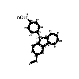 C=Cc1ccc2c(c1)c1ccccc1n2-c1ccc(CCCCCCCC)cc1